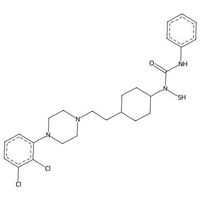 O=C(Nc1ccccc1)N(S)C1CCC(CCN2CCN(c3cccc(Cl)c3Cl)CC2)CC1